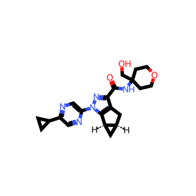 O=C(NC1(CO)CCOCC1)c1nn(-c2cnc(C3CC3)cn2)c2c1C[C@H]1C[C@@H]21